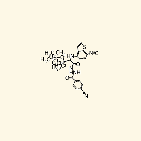 [C-]#[N+]c1ccc(N[C@@H](C(=O)NNC(=O)c2ccc(C#N)cc2)C(C)O[Si](C)(C)C(C)(C)C)c2ccsc12